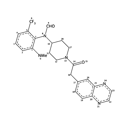 CNc1cccc(C(F)(F)F)c1N(C=O)C1CCN(C(=O)Cc2ccc3nccnc3c2)CC1